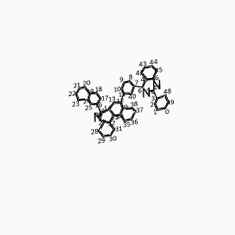 c1ccc(-c2nc(-c3cccc(-c4cc5c(-c6ccc7ccccc7c6)nc6ccccc6c5c5ccccc45)c3)c3ccccc3n2)cc1